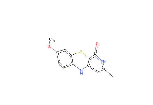 Cc1cc2c(c(=O)[nH]1)Sc1cc(OC(F)(F)F)ccc1N2